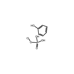 O=P(O)(O)OCl.Oc1ccccc1